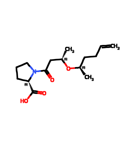 C=CCC[C@@H](C)O[C@@H](C)CC(=O)N1CCC[C@H]1C(=O)O